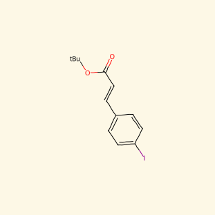 CC(C)(C)OC(=O)C=Cc1ccc(I)cc1